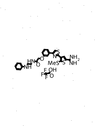 CSc1sc(C(=N)N)cc1-c1nc(-c2cccc(OCC(=O)NCCNc3ccccc3)c2)cs1.O=C(O)C(F)(F)F